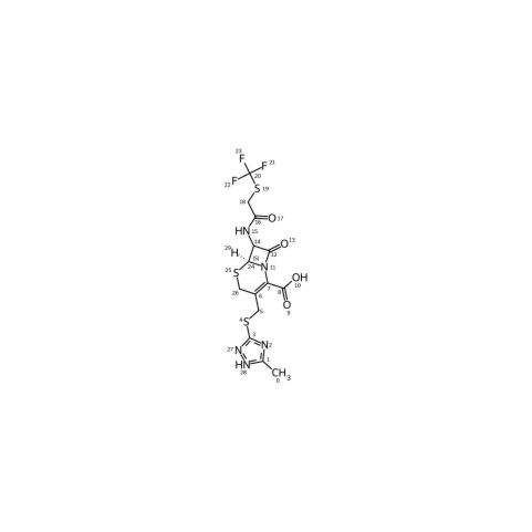 Cc1nc(SCC2=C(C(=O)O)N3C(=O)C(NC(=O)CSC(F)(F)F)[C@@H]3SC2)n[nH]1